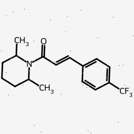 CC1CCCC(C)N1C(=O)/C=C/c1ccc(C(F)(F)F)cc1